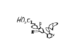 O=C(O)CCCOc1c(F)cc(-c2cccnc2OC2CCOCC2)cc1F